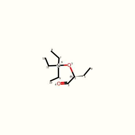 CC[C@H](C=O)O[Si](CC)(CC)CC